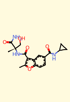 Cc1oc2ccc(C(=O)NC3CC3)cc2c1C(=O)N[C@@](C)(CO)C(N)=O